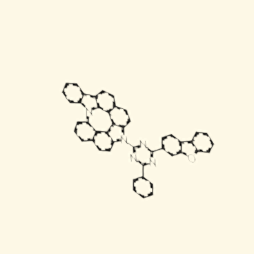 c1ccc(-c2nc(-c3ccc4c(c3)oc3ccccc34)nc(-n3c4ccc5cccc6c5c4c4c5c(ccc7c8ccccc8n6c75)ccc43)n2)cc1